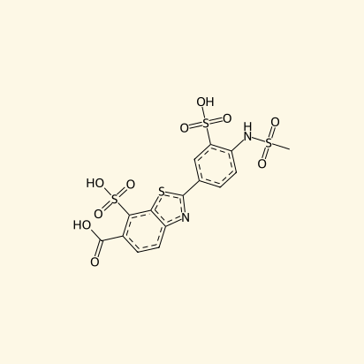 CS(=O)(=O)Nc1ccc(-c2nc3ccc(C(=O)O)c(S(=O)(=O)O)c3s2)cc1S(=O)(=O)O